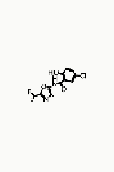 O=C(Nc1nnc(C(F)F)o1)c1cc(Cl)ccc1O